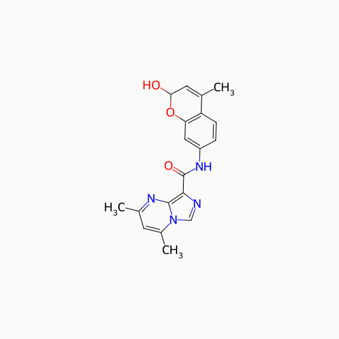 CC1=CC(O)Oc2cc(NC(=O)c3ncn4c(C)cc(C)nc34)ccc21